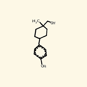 CC1(CO)CCC(c2ccc(O)cc2)CC1